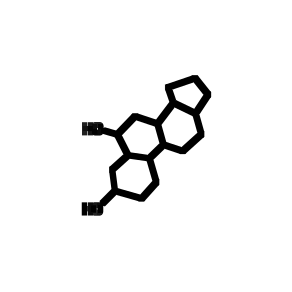 OC1CCC2C(C1)C(O)CC1C3CCCC3CCC21